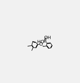 Cc1ccc(OCc2ccccc2B(O)O)cc1C